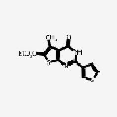 CCOC(=O)c1sc2nc(-c3ccsc3)[nH]c(=O)c2c1C